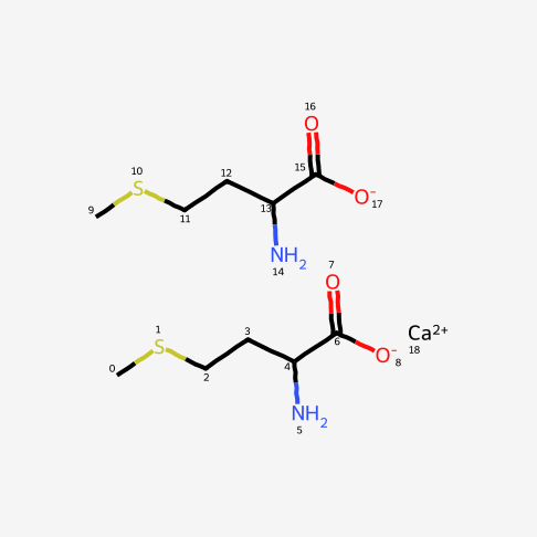 CSCCC(N)C(=O)[O-].CSCCC(N)C(=O)[O-].[Ca+2]